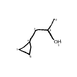 [CH2]C(O)CC1CC1